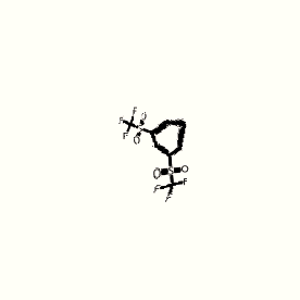 O=S(=O)(c1[c]c(S(=O)(=O)C(F)(F)F)ccc1)C(F)(F)F